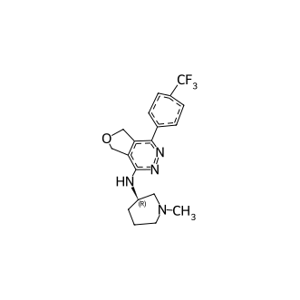 CN1CCC[C@@H](Nc2nnc(-c3ccc(C(F)(F)F)cc3)c3c2COC3)C1